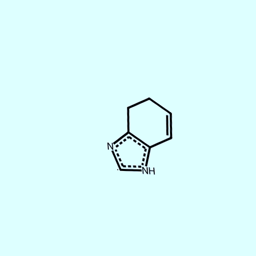 [c]1nc2c([nH]1)C=CCC2